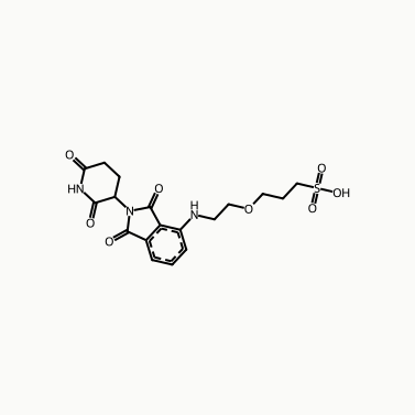 O=C1CCC(N2C(=O)c3cccc(NCCOCCCS(=O)(=O)O)c3C2=O)C(=O)N1